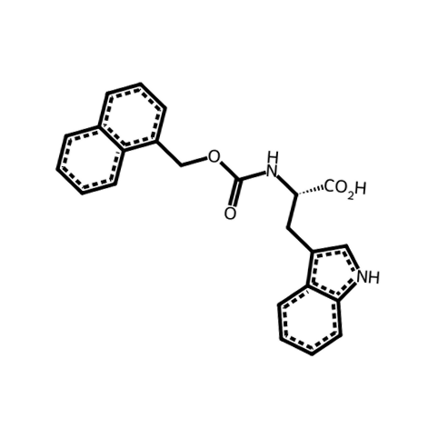 O=C(N[C@@H](Cc1c[nH]c2ccccc12)C(=O)O)OCc1cccc2ccccc12